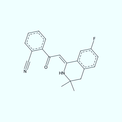 CC1(C)Cc2ccc(F)cc2/C(=C/C(=O)c2ccccc2C#N)N1